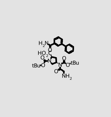 CC(C)(C)OC(=O)N1C[C@@H](N(C(=O)CN)C(=O)OC(C)(C)C)C[C@@H]1C(=O)O.NC(=O)c1cccc(-c2ccccc2)c1